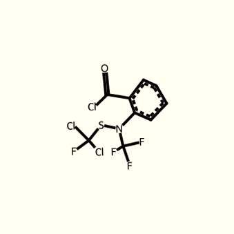 O=C(Cl)c1ccccc1N(SC(F)(Cl)Cl)C(F)(F)F